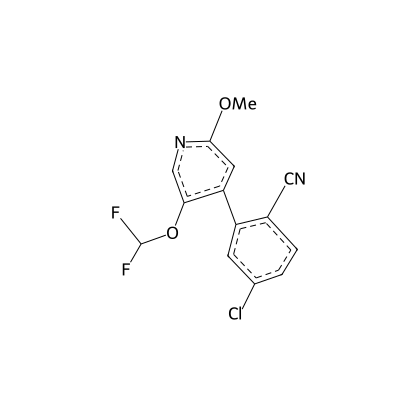 COc1cc(-c2cc(Cl)ccc2C#N)c(OC(F)F)cn1